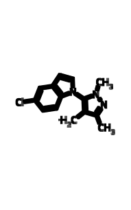 [CH2]c1c(C)nn(C)c1-n1ccc2cc(Cl)ccc21